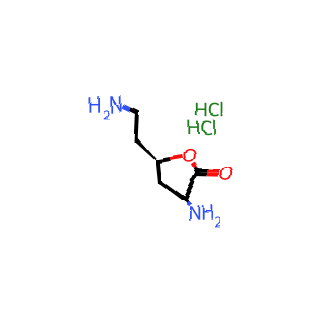 Cl.Cl.NCC[C@@H]1C[C@H](N)C(=O)O1